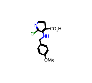 COc1ccc(CNc2c(C(=O)O)ccnc2Cl)cc1